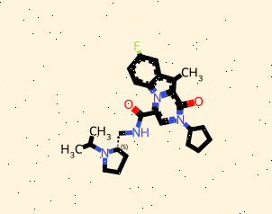 Cc1c2cc(F)ccc2n2c(C(=O)NC[C@@H]3CCCN3C(C)C)cn(C3CCCC3)c(=O)c12